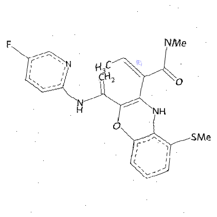 C=C(Nc1ccc(F)cn1)C1=C(/C(=C\C)C(=O)NC)Nc2c(cccc2SC)O1